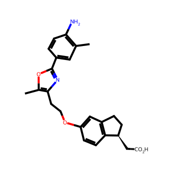 Cc1cc(-c2nc(CCOc3ccc4c(c3)CC[C@H]4CC(=O)O)c(C)o2)ccc1N